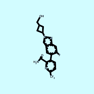 NC(=O)c1nc(C(F)(F)F)ccc1-c1cc2cn(C3CC(CO)C3)nc2cc1F